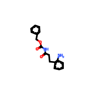 Nc1ccccc1CCC(=O)NC(=O)OCc1ccccc1